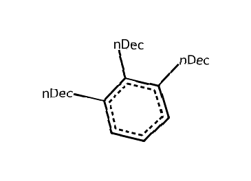 CCCCCCCCCCc1cccc(CCCCCCCCCC)c1CCCCCCCCCC